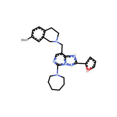 COc1ccc2c(c1)CN(Cc1cnc(N3CCCCCC3)n3nc(-c4ccco4)nc13)CC2